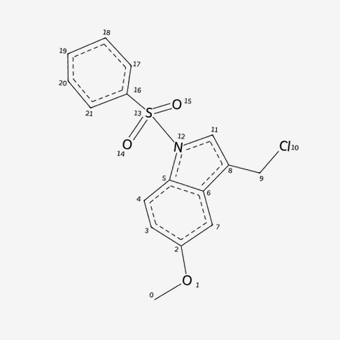 COc1ccc2c(c1)c(CCl)cn2S(=O)(=O)c1ccccc1